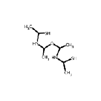 CC(S)NC(C)OC(C)NC(C)S